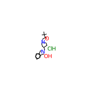 CC(C)(C)C(=O)CN1CCC(CN2Cc3ccccc3C2O)CC1.Cl